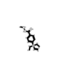 [CH2]OOC(=O)c1ccc([Si](C=C)(CC)CC)cc1